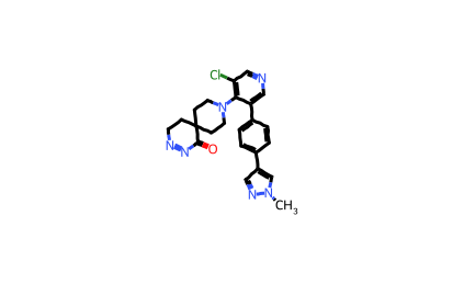 Cn1cc(-c2ccc(-c3cncc(Cl)c3N3CCC4(CCN=NC4=O)CC3)cc2)cn1